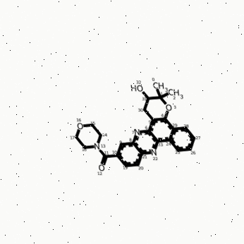 CC1(C)Oc2c(c3nc4cc(C(=O)N5CCOCC5)ccc4nc3c3ccccc23)CC1O